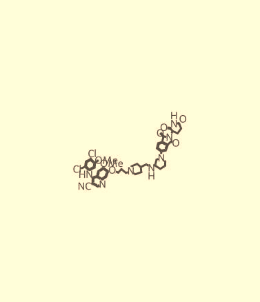 COc1cc(Nc2c(C#N)cnc3cc(OCCCN4CCC(CN[C@H]5CCCN(c6ccc7c(c6)C(=O)N(C6CCC(=O)NC6=O)C7=O)C5)CC4)c(OC)cc23)c(Cl)cc1Cl